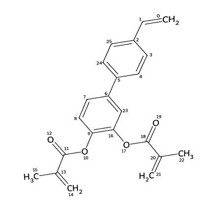 C=Cc1ccc(-c2ccc(OC(=O)C(=C)C)c(OC(=O)C(=C)C)c2)cc1